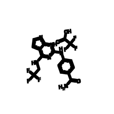 NC(=O)c1ccc(Nc2nc(NCC(F)(F)F)c3ccnc-3[nH]2)cc1.O=C(O)C(F)(F)F